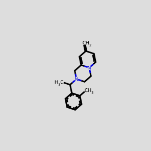 C=C1C=CN2CCN(C(C)c3ccccc3C)CC2=C1